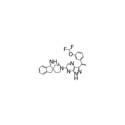 C=C(c1cccc(OC(F)F)c1)c1n[nH]c2nc(N3CCC4(CC3)Cc3ccccc3[C@H]4N)cnc12